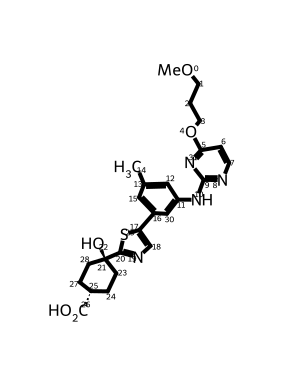 COCCCOc1ccnc(Nc2cc(C)cc(-c3cnc([C@]4(O)CC[C@H](C(=O)O)CC4)s3)c2)n1